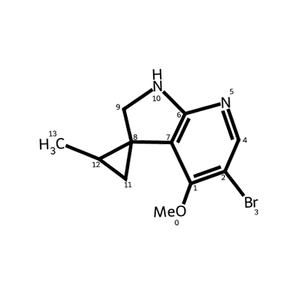 COc1c(Br)cnc2c1C1(CN2)CC1C